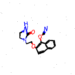 N#COc1c(OCCN2CCNC2=O)ccc2ccccc12